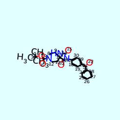 CC(C)(C)OC(=O)N1CCC2(CC1)NC(=O)N(c1ccc(C(=O)c3ccccc3)cc1)C2=O